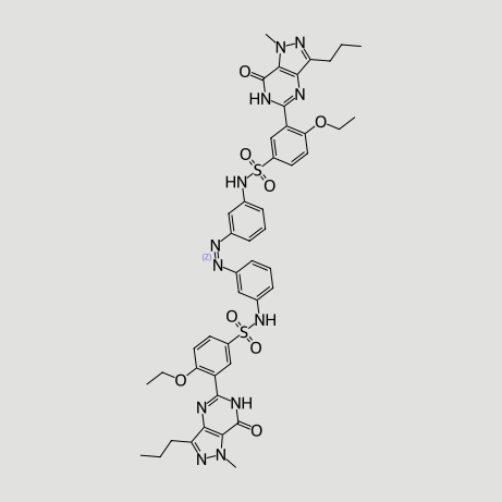 CCCc1nn(C)c2c(=O)[nH]c(-c3cc(S(=O)(=O)Nc4cccc(/N=N\c5cccc(NS(=O)(=O)c6ccc(OCC)c(-c7nc8c(CCC)nn(C)c8c(=O)[nH]7)c6)c5)c4)ccc3OCC)nc12